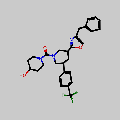 O=C(N1CCC(O)CC1)N1CC(c2ccc(C(F)(F)F)cc2)CC(c2nc(Cc3ccccc3)co2)C1